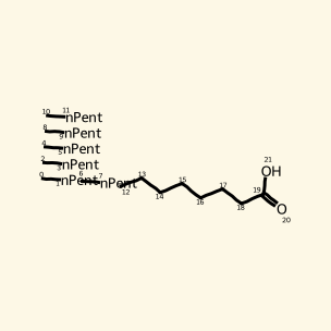 CCCCCC.CCCCCC.CCCCCC.CCCCCC.CCCCCC.CCCCCC.CCCCCCCC(=O)O